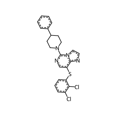 Clc1cccc(Sc2cnc(N3CCC(c4ccccc4)CC3)n3ccnc23)c1Cl